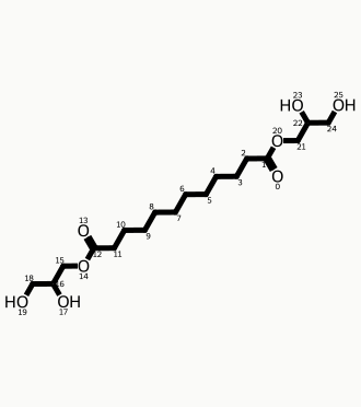 O=C(CCCCCCCCCCC(=O)OCC(O)CO)OCC(O)CO